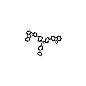 c1ccc(-c2ccc(N(c3ccc(-c4ccc5c(c4)oc4ccccc45)cc3)c3ccc(-c4ccc5c6cccc7c8ccccc8n(c5c4)c76)cc3)cc2)cc1